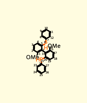 COc1cccc(Pc2ccccc2)c1-c1c(OC)cccc1Pc1ccccc1